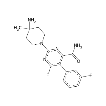 CC1(N)CCN(c2nc(F)c(-c3cccc(F)c3)c(C(N)=O)n2)CC1